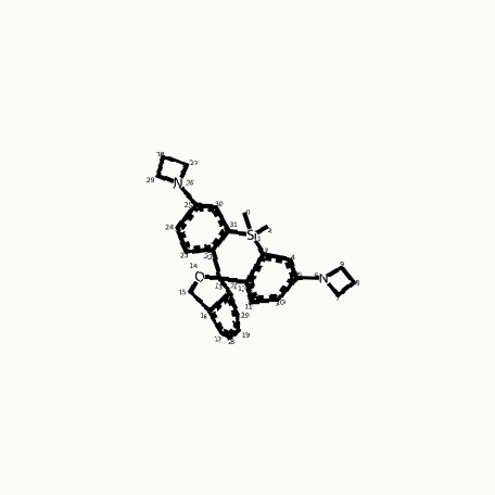 C[Si]1(C)c2cc(N3CCC3)ccc2C2(OCc3ccccc32)c2ccc(N3CCC3)cc21